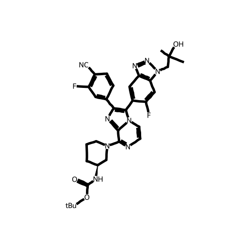 CC(C)(O)Cn1nnc2cc(-c3c(-c4ccc(C#N)c(F)c4)nc4c(N5CCC[C@H](NC(=O)OC(C)(C)C)C5)nccn34)c(F)cc21